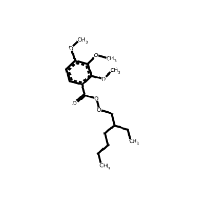 CCCCC([CH]OOC(=O)c1ccc(OC)c(OC)c1OC)CC